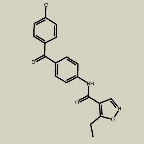 CCc1oncc1C(=O)Nc1ccc(C(=O)c2ccc(Cl)cc2)cc1